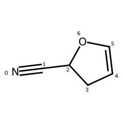 N#CC1CC=CO1